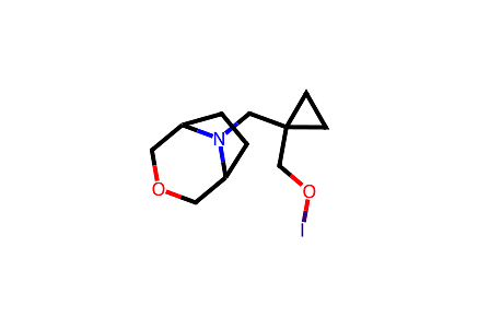 IOCC1(CN2C3CCC2COC3)CC1